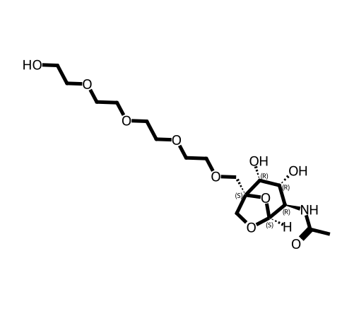 CC(=O)N[C@H]1[C@H]2OC[C@](COCCOCCOCCOCCO)(O2)[C@H](O)[C@@H]1O